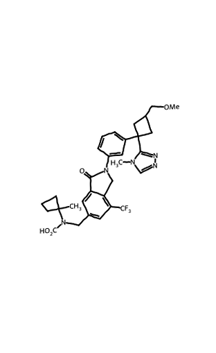 COCC1CC(c2cccc(N3Cc4c(cc(CN(C(=O)O)C5(C)CCC5)cc4C(F)(F)F)C3=O)c2)(c2nncn2C)C1